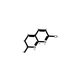 CC1CC=c2ccc(Cl)nc2=N1